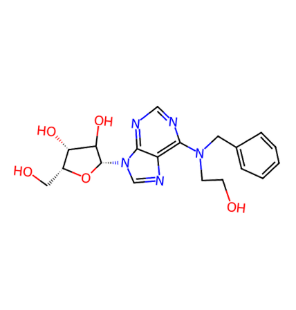 OCCN(Cc1ccccc1)c1ncnc2c1ncn2[C@@H]1O[C@H](CO)[C@H](O)C1O